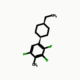 CC[C@H]1CC[C@H](c2cc(F)c(C)c(F)c2F)CC1